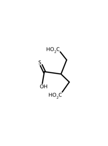 O=C(O)CC(CC(=O)O)C(O)=S